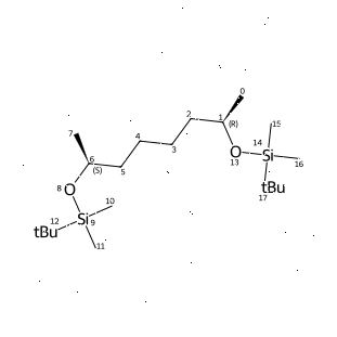 C[C@H](CCCC[C@H](C)O[Si](C)(C)C(C)(C)C)O[Si](C)(C)C(C)(C)C